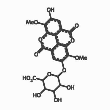 COc1c(O)cc2c(=O)oc3c(OC)c(OC4OC(C(=O)O)C(O)C(O)C4O)cc4c(=O)oc1c2c34